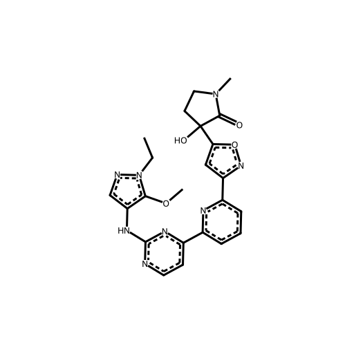 CCn1ncc(Nc2nccc(-c3cccc(-c4cc(C5(O)CCN(C)C5=O)on4)n3)n2)c1OC